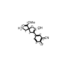 COC(=O)C1(CN)CC(c2ccc(F)c(C#N)c2)=NO1.Cl